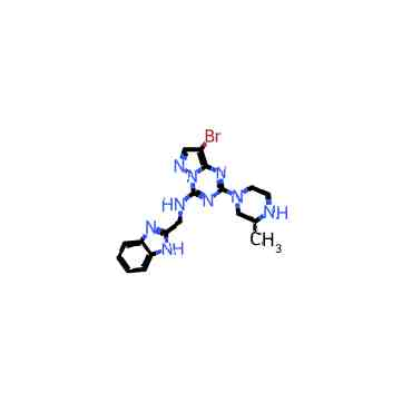 C[C@H]1CN(c2nc(NCc3nc4ccccc4[nH]3)n3ncc(Br)c3n2)CCN1